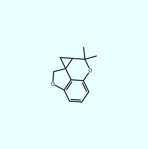 CC1(C)Oc2cccc3c2C2(CO3)CC12